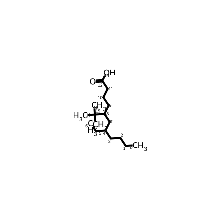 CCCCC(CC)CC(CCCC(=O)O)C(C)(C)C